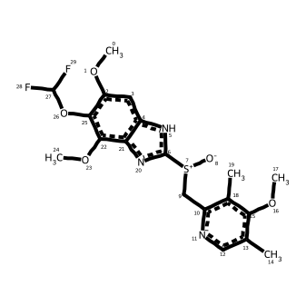 COc1cc2[nH]c([S+]([O-])Cc3ncc(C)c(OC)c3C)nc2c(OC)c1OC(F)F